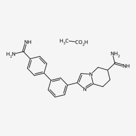 CC(=O)O.N=C(N)c1ccc(-c2cccc(-c3cn4c(n3)CCC(C(=N)N)C4)c2)cc1